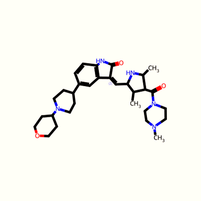 CC1NC(/C=C2\C(=O)Nc3ccc(C4CCN(C5CCOCC5)CC4)cc32)C(C)C1C(=O)N1CCN(C)CC1